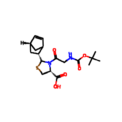 CC(C)(C)OC(=O)NCC(=O)N1C([C@@H]2C[C@@H]3C=CC2C3)SC[C@H]1C(=O)O